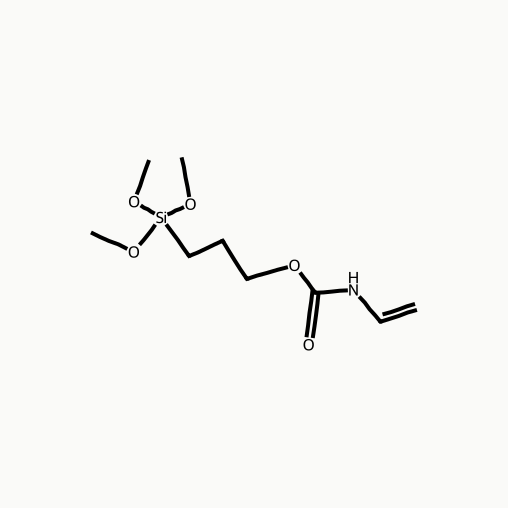 C=CNC(=O)OCCC[Si](OC)(OC)OC